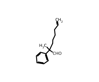 C=CCCCCC(C)(C=O)c1ccccc1